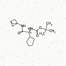 CC(C)(C)OC(=O)N[C@H](C(=O)NC12CC(C1)C2)C1CCCC1